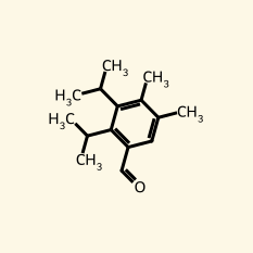 Cc1cc(C=O)c(C(C)C)c(C(C)C)c1C